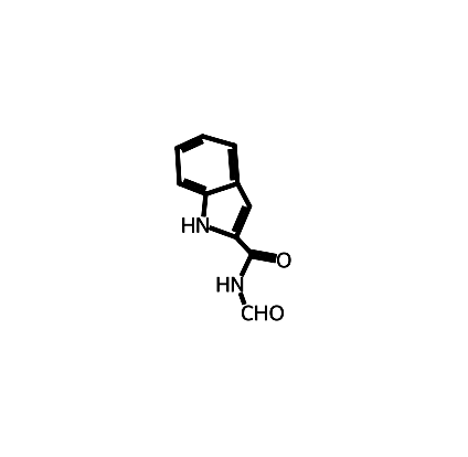 O=CNC(=O)c1cc2ccccc2[nH]1